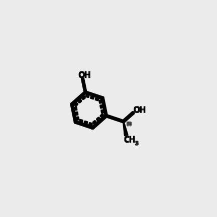 C[C@H](O)c1cccc(O)c1